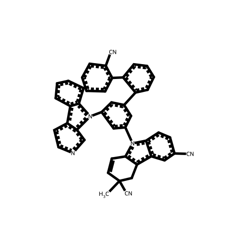 CC1(C#N)C=Cc2c(c3cc(C#N)ccc3n2-c2cc(-c3ccccc3-c3ccccc3C#N)cc(-n3c4ccccc4c4ccncc43)c2)C1